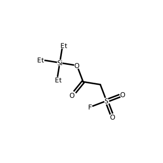 CC[Si](CC)(CC)OC(=O)CS(=O)(=O)F